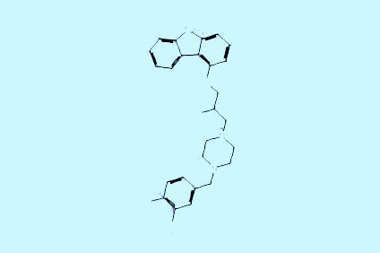 OC(COc1cccc2[nH]c3ccccc3c12)CN1CCN(Cc2ccc(F)c(F)c2)CC1